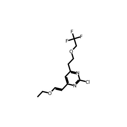 CCOC=Cc1cc(CCOCC(F)(F)F)nc(Cl)n1